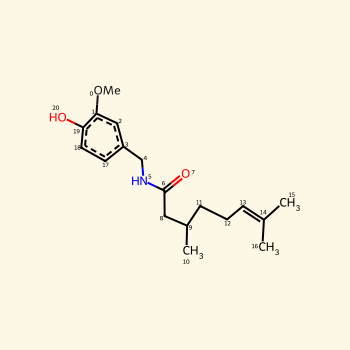 COc1cc(CNC(=O)CC(C)CCC=C(C)C)ccc1O